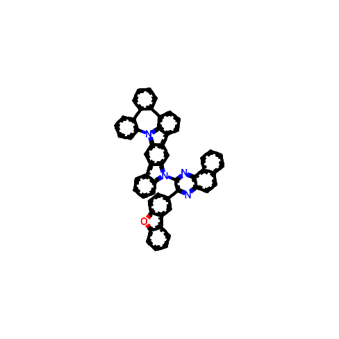 c1ccc2c(c1)-c1ccccc1-n1c3cc4c5ccccc5n(-c5nc6c(ccc7ccccc76)nc5-c5ccc6oc7ccccc7c6c5)c4cc3c3cccc-2c31